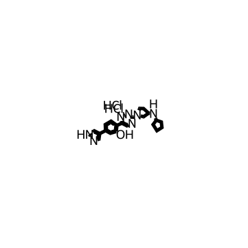 Cl.Cl.Oc1cc(-c2cn[nH]c2)ccc1-c1cnc(N2CCC(NC3CCCC3)C2)nn1